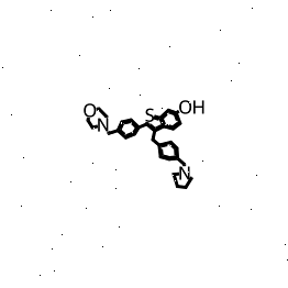 Oc1ccc2c(Cc3ccc(CN4CCCC4)cc3)c(-c3ccc(CN4CCOCC4)cc3)sc2c1